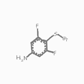 CC(C)Sc1c(F)cc(N)cc1F